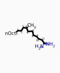 CCCCCCCCCCCC(C)CCCCCCC(N)N